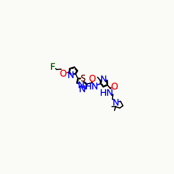 Cc1ncc(C(=O)NCCN2CCCC2(C)C)cc1NC(=O)c1cnn2cc(-c3cccc(OCCF)n3)sc12